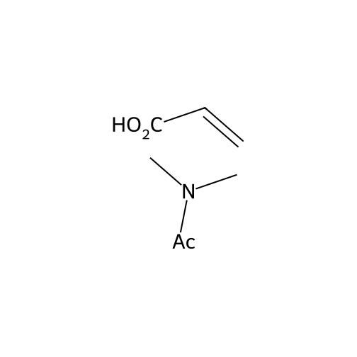 C=CC(=O)O.CC(=O)N(C)C